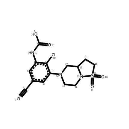 N#Cc1cc(NC(=O)O)c(Cl)c(N2CCN3C(CCS3(=O)=O)C2)c1